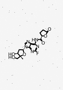 C[C@]1(CO)O[C@@H](n2cnc3c(NC(=O)[C@H]4CCC(=O)O4)nc(F)nc32)C[C@@H]1O